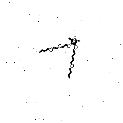 CCCCOCCCCCOc1c(C)sc(C)c1OCCOCCOCCCC